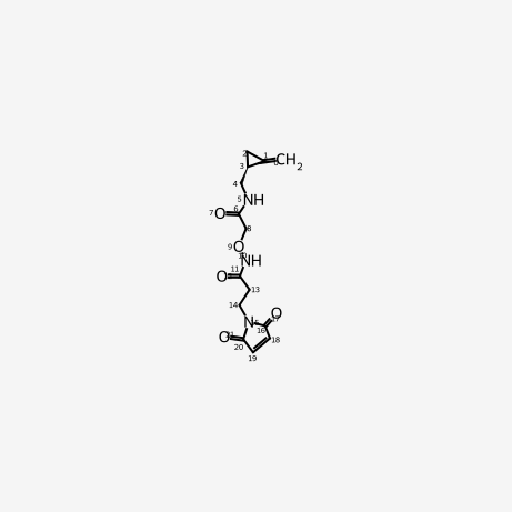 C=C1C[C@@H]1CNC(=O)CONC(=O)CCN1C(=O)C=CC1=O